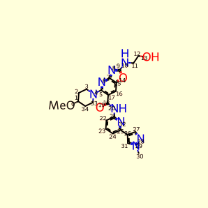 COC1CCN(c2nc3nc(NCCO)oc3cc2C(=O)Nc2cccc(-c3cnn(C)c3)n2)CC1